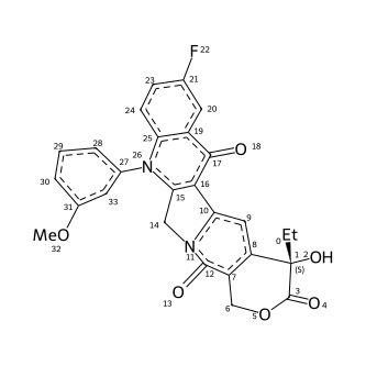 CC[C@@]1(O)C(=O)OCc2c1cc1n(c2=O)Cc2c-1c(=O)c1cc(F)ccc1n2-c1cccc(OC)c1